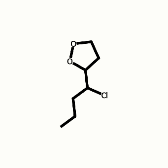 CCCC(Cl)C1CCOO1